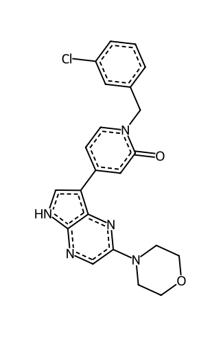 O=c1cc(-c2c[nH]c3ncc(N4CCOCC4)nc23)ccn1Cc1cccc(Cl)c1